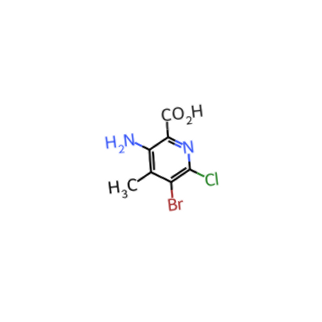 Cc1c(N)c(C(=O)O)nc(Cl)c1Br